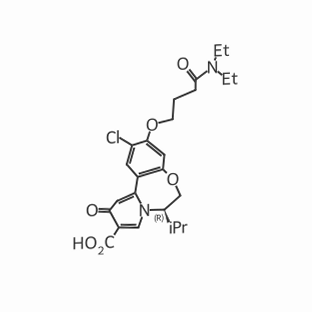 CCN(CC)C(=O)CCCOc1cc2c(cc1Cl)-c1cc(=O)c(C(=O)O)cn1[C@H](C(C)C)CO2